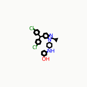 Oc1cccc(NC2CCC(n3c(C4CC4)nc4ccc(C(c5ccc(Cl)cc5)c5ccc(Cl)cc5)cc43)CC2)c1